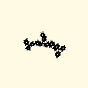 c1ccc(N(c2ccccc2)c2ccc(-c3ccc4cc(N(c5ccc6ccccc6c5)c5ccc6cc(-c7ccc(N(c8ccccc8)c8ccccc8)cc7)ccc6c5)ccc4c3)cc2)cc1